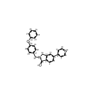 O=C1c2ccc(-c3ccncc3)cc2CN1Cc1ccc(Oc2ccccc2)cc1